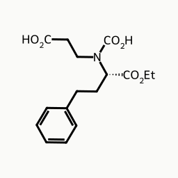 CCOC(=O)[C@H](CCc1ccccc1)N(CCC(=O)O)C(=O)O